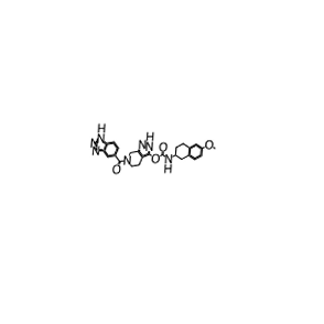 COc1ccc2c(c1)CCC(NC(=O)Oc1[nH]nc3c1CCN(C(=O)c1ccc4[nH]nnc4c1)C3)C2